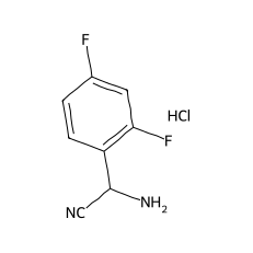 Cl.N#CC(N)c1ccc(F)cc1F